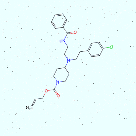 C=CCOC(=O)N1CCC(N(CCNC(=O)c2ccccc2)CCc2ccc(Cl)cc2)CC1